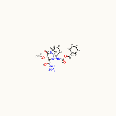 CCCCOc1c(C(=O)NN)nc2n(c1=O)CC1CCC2(NC(=O)OCc2ccccc2)CC1